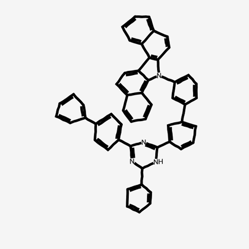 c1ccc(-c2ccc(C3=NC(c4ccccc4)NC(c4cccc(-c5cccc(-n6c7ccc8ccccc8c7c7ccc8ccccc8c76)c5)c4)=N3)cc2)cc1